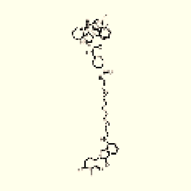 O=C1CCC(N2Cc3c(NCCOCCOCCOCCNC(=O)[C@H]4CC[C@H](NC(=O)[C@@H]5NC6(CCCCC6)[C@@]6(C(=O)Nc7cc(Cl)ccc76)[C@H]5c5cccc(Cl)c5F)CC4)cccc3C2=O)C(=O)N1